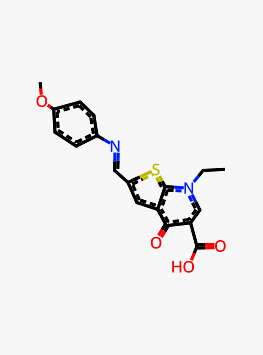 CCn1cc(C(=O)O)c(=O)c2cc(C=Nc3ccc(OC)cc3)sc21